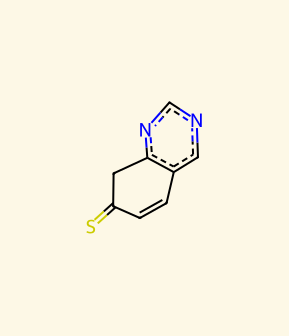 S=C1C=Cc2cncnc2C1